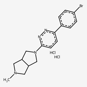 CN1CC2CN(c3ccc(-c4ccc(Br)cc4)nn3)CC2C1.Cl.Cl